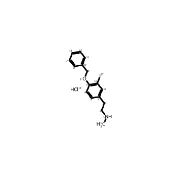 CNCCc1ccc(OCc2ccccc2)c(I)c1.Cl